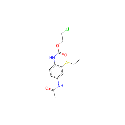 CCSc1cc(NC(C)=O)ccc1NC(=O)OCCCl